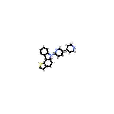 c1ccc2c(c1)c1c3sccc3ccc1n2-c1ccc(-c2ccncc2)cn1